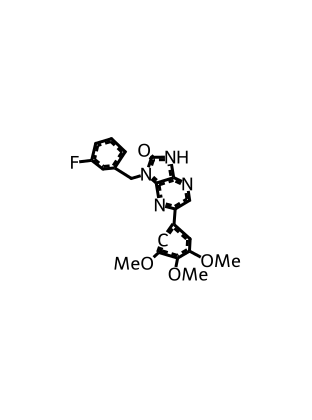 COc1cc(-c2cnc3[nH]c(=O)n(Cc4cccc(F)c4)c3n2)cc(OC)c1OC